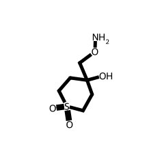 NOCC1(O)CCS(=O)(=O)CC1